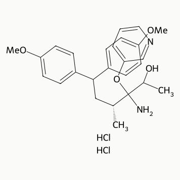 COc1ccc(C(C[C@@H](C)C(N)(Oc2cccnc2)C(C)O)c2ccc(OC)cc2)cc1.Cl.Cl